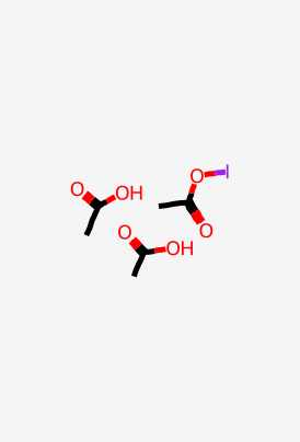 CC(=O)O.CC(=O)O.CC(=O)OI